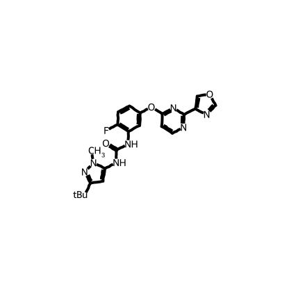 Cn1nc(C(C)(C)C)cc1NC(=O)Nc1cc(Oc2ccnc(-c3cocn3)n2)ccc1F